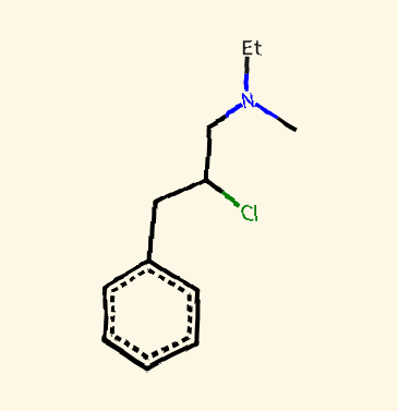 CCN(C)CC(Cl)Cc1ccccc1